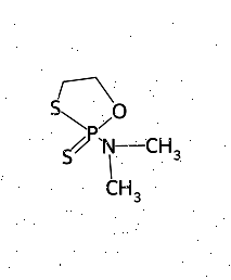 CN(C)P1(=S)OCCS1